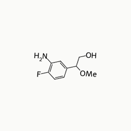 COC(CO)c1ccc(F)c(N)c1